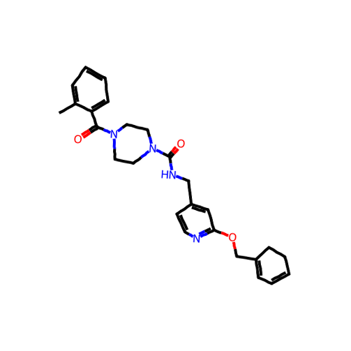 Cc1ccccc1C(=O)N1CCN(C(=O)NCc2ccnc(OCC3=CC=CCC3)c2)CC1